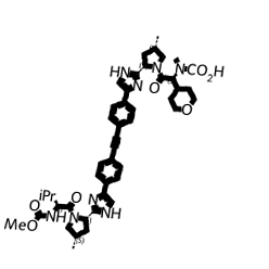 COC(=O)N[C@H](C(=O)N1C[C@@H](C)C[C@H]1c1nc(-c2ccc(C#Cc3ccc(-c4c[nH]c([C@@H]5C[C@H](C)CN5C(=O)[C@H](C5CCOCC5)N(C)C(=O)O)n4)cc3)cc2)c[nH]1)C(C)C